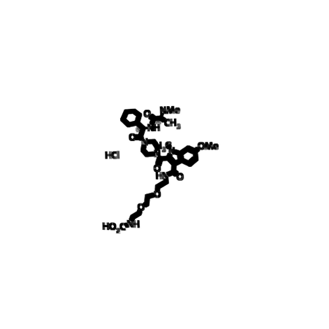 CN[C@@H](C)C(=O)N[C@H](C(=O)N1CCN(C(=O)c2c(C(=O)NCCOCCOCCNC(=O)O)c3ccc(OC)cc3n2C)CC1)C1CCCCC1.Cl